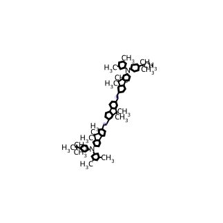 Cc1cc(C)cc(N(c2ccc(C(C)(C)C)cc2)c2ccc3c(c2)C(C)(C)c2cc(/C=C/c4ccc5c(c4)C(C)(C)c4cc(/C=C/c6ccc7c(c6)C(C)(C)c6cc(N(c8ccc(C(C)(C)C)cc8)c8cc(C)cc(C)c8)ccc6-7)ccc4-5)ccc2-3)c1